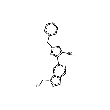 CC(C)Cn1ncc2cnc(-c3nn(Cc4ccccc4)cc3[N+](=O)[O-])cc21